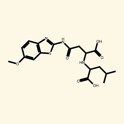 COc1ccc2nc(NC(=O)CC(NC(CC(C)C)C(=O)O)C(=O)O)sc2c1